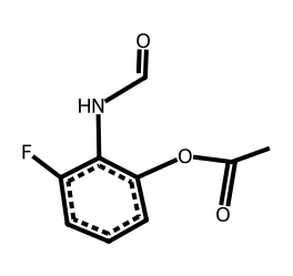 CC(=O)Oc1cccc(F)c1NC=O